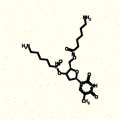 Cc1cn([C@H]2CC(O[PH](=O)CCCCCN)[C@@H](CO[PH](=O)CCCCCN)O2)c(=O)[nH]c1=O